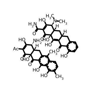 CC(=O)C1=C(O)[C@H](N)[C@@H]2Cc3c(c(O)c4c(O)c(C)ccc4c3C)C(=O)[C@]2(O)C1=O.CN(C)[C@@H]1C(O)=C(C(N)=O)C(=O)[C@@]2(O)C(O)=C3C(=O)c4c(O)cccc4C[C@H]3C[C@@H]12